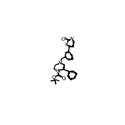 CC(C)(C)OC(=O)N1CCN(Cc2cccc(-c3ccnc(Cl)n3)c2)CC1c1ccccc1